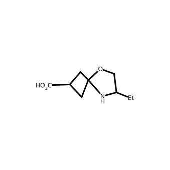 CCC1COC2(CC(C(=O)O)C2)N1